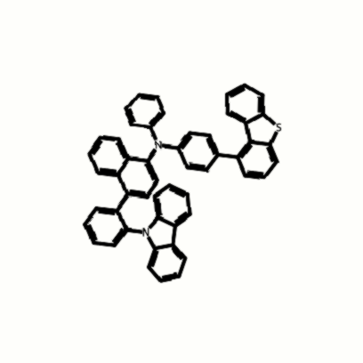 c1ccc(N(c2ccc(-c3cccc4sc5ccccc5c34)cc2)c2ccc(-c3ccccc3-n3c4ccccc4c4ccccc43)c3ccccc23)cc1